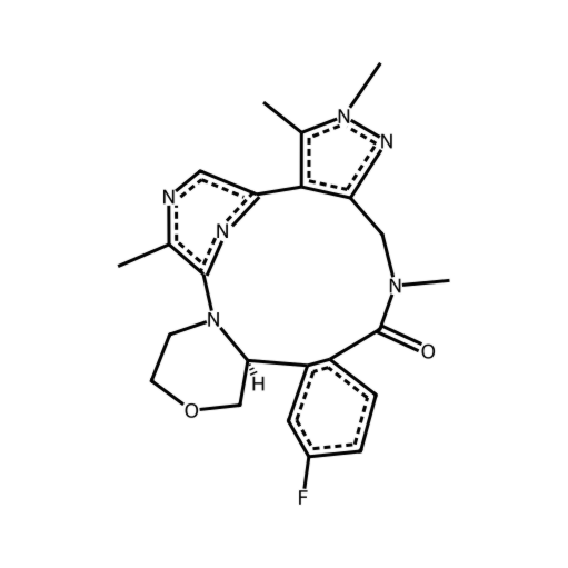 Cc1ncc2nc1N1CCOC[C@@H]1c1cc(F)ccc1C(=O)N(C)Cc1nn(C)c(C)c1-2